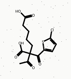 CC(=O)C(CCCCC(=O)O)(C(=O)O)C(=O)c1ccc(Cl)s1